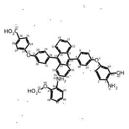 Nc1ccc(Oc2ccc(-c3c4ccccc4c(-c4ccc(Oc5ccc(C(=O)O)cc5)cc4)c4ccccc34)cc2)cc1O.Nc1ccccc1OC(=O)O